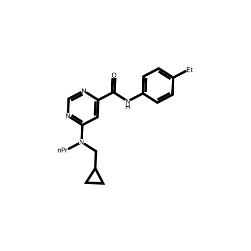 CCCN(CC1CC1)c1cc(C(=O)Nc2ccc(CC)cc2)ncn1